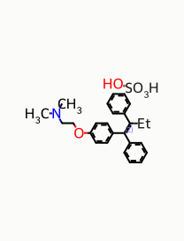 CC/C(=C(\c1ccccc1)c1ccc(OCCN(C)C)cc1)c1ccccc1.O=S(=O)(O)O